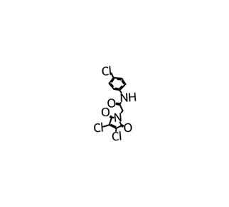 O=C(CN1C(=O)C(Cl)=C(Cl)C1=O)Nc1ccc(Cl)cc1